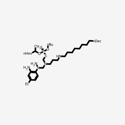 CCCCCCCCCCCCCCCCCCNCCCN(CSP(=S)(OCCCC)OC(C)CCCCCC)CN(N)c1ccc(CC)cc1N